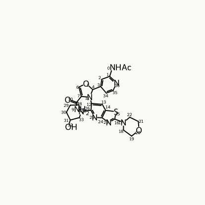 CC(=O)Nc1cc(C2OC=C(C(N)=O)N2c2cc3sc(N4CCOCC4)nc3nc2N2CCCC(O)C2)ccn1